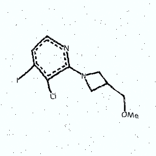 COCC1CN(c2nccc(I)c2Cl)C1